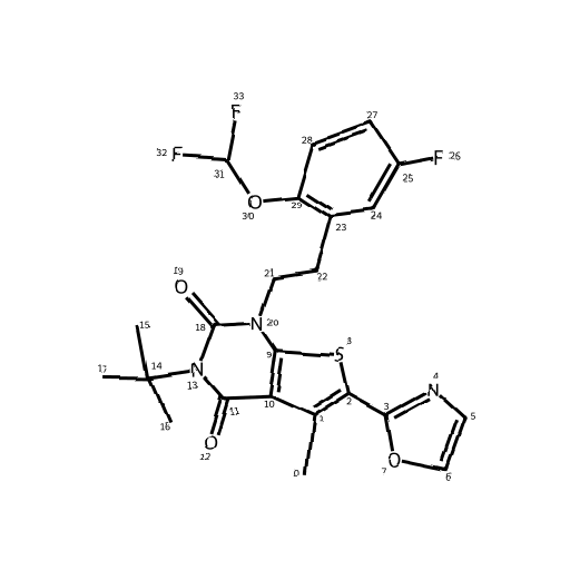 Cc1c(-c2ncco2)sc2c1c(=O)n(C(C)(C)C)c(=O)n2CCc1cc(F)ccc1OC(F)F